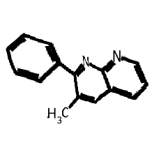 Cc1cc2cccnc2nc1-c1ccccc1